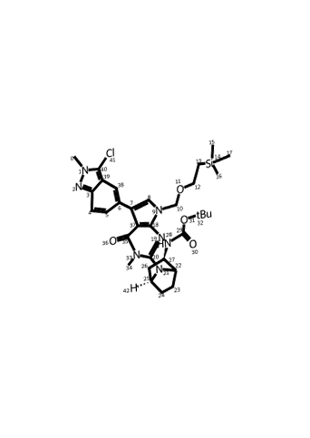 Cn1nc2ccc(-c3cn(COCC[Si](C)(C)C)c4nc(N5C6CC[C@H]5C[C@H]6NC(=O)OC(C)(C)C)n(C)c(=O)c34)cc2c1Cl